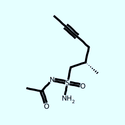 CC#CC[C@H](C)CS(N)(=O)=NC(C)=O